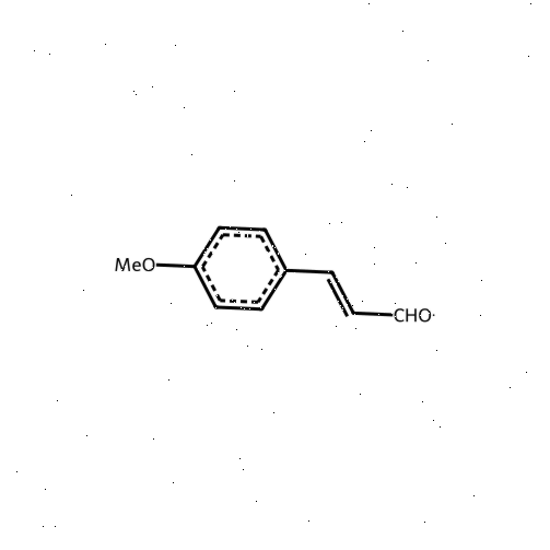 COc1ccc(/C=C/[C]=O)cc1